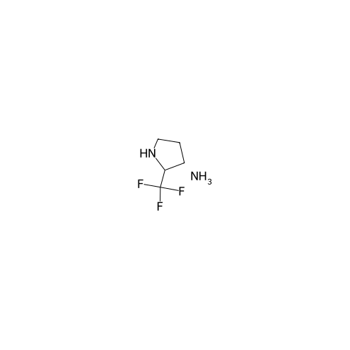 FC(F)(F)C1CCCN1.N